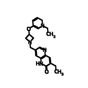 CCc1cc2ncc(CN3CC(OC4=CN(CC)CC=C4)C3)cc2[nH]c1=O